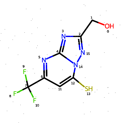 OCc1nc2nc(C(F)(F)F)cc(S)n2n1